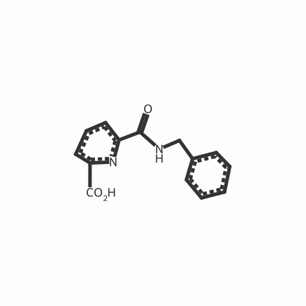 O=C(O)c1cccc(C(=O)NCc2ccccc2)n1